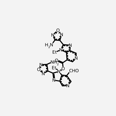 CCn1c(-c2nonc2N)nc2cncc(C(=O)O[N+]3(CC)C(c4nonc4N)=Nc4cncc(C=O)c43)c21